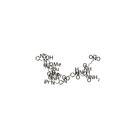 CC[C@H](C)[C@@H]([C@@H](CC(=O)N1CCC[C@H]1[C@H](OC)[C@@H](C)C(O)N[C@@H](Cc1ccccc1)c1nccs1)OC)N(C)C(=O)[C@@H](NC(=O)[C@H](C(C)C)N(C)CCc1ccc(N(C)C(=O)OCc2ccc(NC(=O)[C@H](CCCNC(N)=O)NC(=O)CNC(=O)CCCCCN3C(=O)C=CC3=O)cc2)cc1)C(C)C